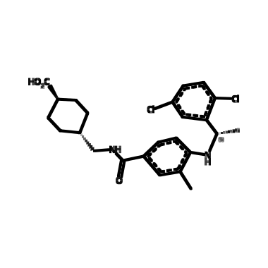 Cc1cc(C(=O)NC[C@H]2CC[C@H](C(=O)O)CC2)ccc1N[C@@H](C)c1cc(Cl)ccc1Cl